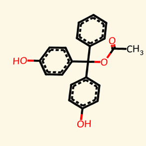 CC(=O)OC(c1ccccc1)(c1ccc(O)cc1)c1ccc(O)cc1